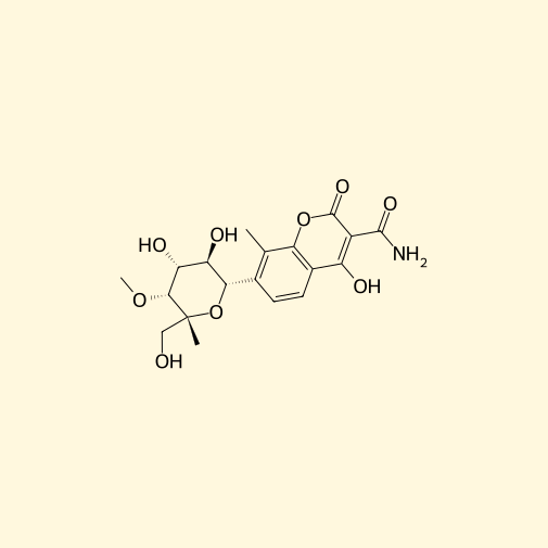 CO[C@@H]1[C@H](O)[C@@H](O)[C@H](c2ccc3c(O)c(C(N)=O)c(=O)oc3c2C)O[C@]1(C)CO